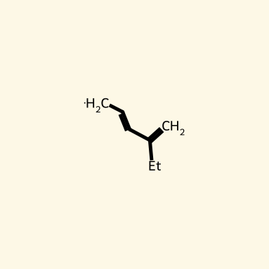 [CH2]/C=C/C(=C)CC